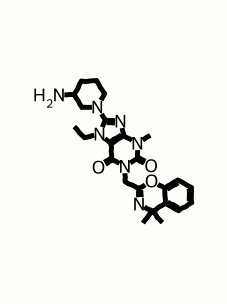 CCn1c(N2CCCC(N)C2)nc2c1c(=O)n(CC1=NC(C)(C)c3ccccc3O1)c(=O)n2C